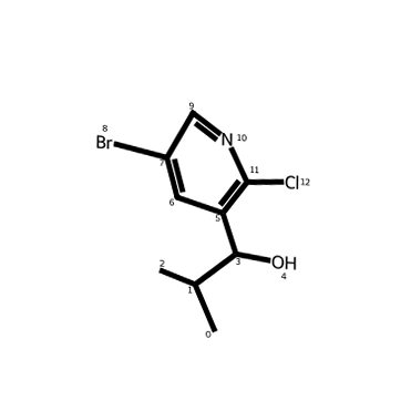 CC(C)C(O)c1cc(Br)cnc1Cl